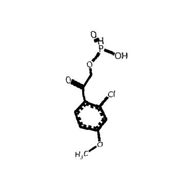 COc1ccc(C(=O)CO[PH](=O)O)c(Cl)c1